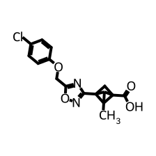 CC1C2(C(=O)O)CC1(c1noc(COc3ccc(Cl)cc3)n1)C2